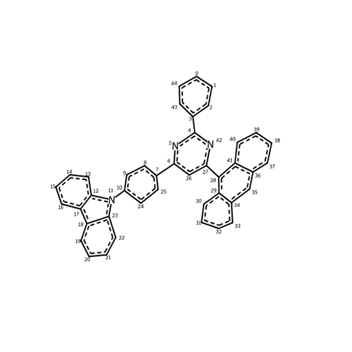 c1ccc(-c2nc(-c3ccc(-n4c5ccccc5c5ccccc54)cc3)cc(-c3c4ccccc4cc4ccccc34)n2)cc1